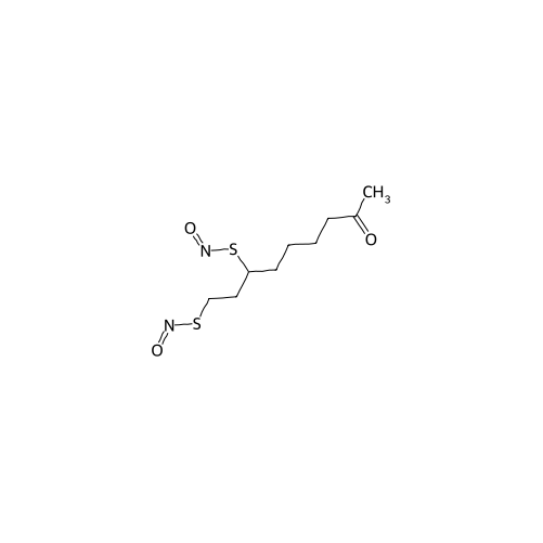 CC(=O)CCCCC(CCSN=O)SN=O